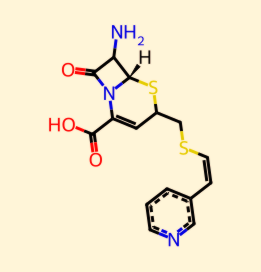 NC1C(=O)N2C(C(=O)O)=CC(CS/C=C\c3cccnc3)S[C@@H]12